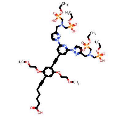 CCOP(=O)(O)CN(Cc1ccn(-c2cc(C#Cc3cc(OCCOC)c(C#CCCCCC(=O)O)cc3OCCOC)cc(-n3ccc(CN(CP(=O)(O)OCC)CP(=O)(O)OCC)n3)n2)n1)CP(=O)(O)OCC